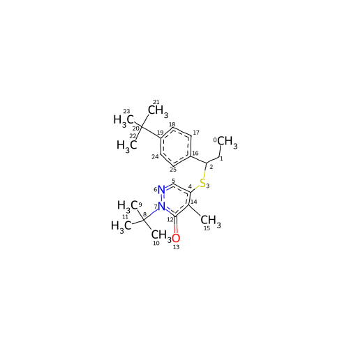 CCC(Sc1cnn(C(C)(C)C)c(=O)c1C)c1ccc(C(C)(C)C)cc1